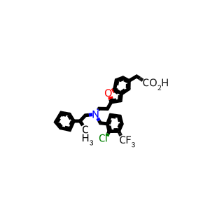 CC(CN(CCc1cc2cc(CC(=O)O)ccc2o1)Cc1cccc(C(F)(F)F)c1Cl)c1ccccc1